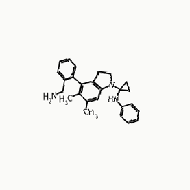 Cc1cc2c(c(-c3ccccc3CN)c1C)CCN2C1(Nc2ccccc2)CC1